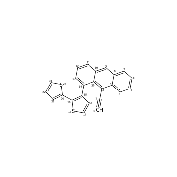 C#Cc1c2ccccc2cc2cccc(-c3ccsc3-c3cccs3)c12